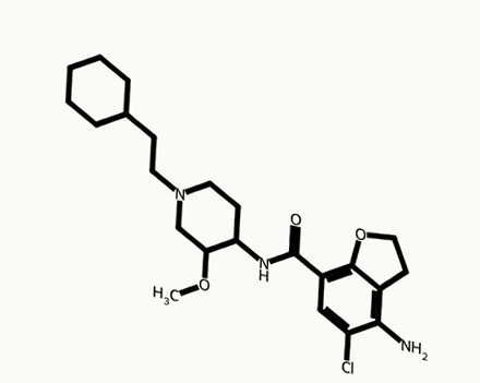 COC1CN(CCC2CCCCC2)CCC1NC(=O)c1cc(Cl)c(N)c2c1OCC2